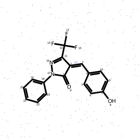 O=C1/C(=C\c2ccc(O)cc2)C(C(F)(F)F)=NN1c1ccccc1